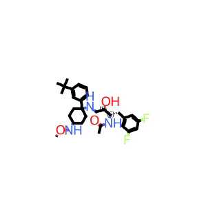 CONC1CCC(NC[C@H](O)[C@H](Cc2cc(F)cc(F)c2)NC(C)=O)(c2cccc(C(C)(C)C)c2)CC1